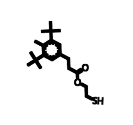 Cc1c(C(C)(C)C)cc(CCC(=O)OCCS)cc1C(C)(C)C